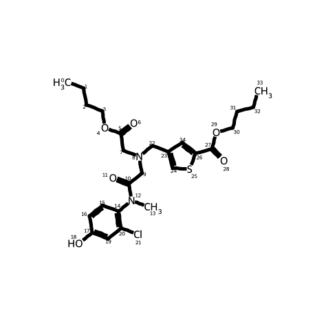 CCCCOC(=O)CN(CC(=O)N(C)c1ccc(O)cc1Cl)Cc1csc(C(=O)OCCCC)c1